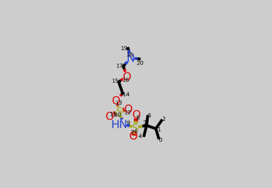 CC(C)C(C)(C)S(=O)(=O)NS(=O)(=O)OCCOCN(C)C